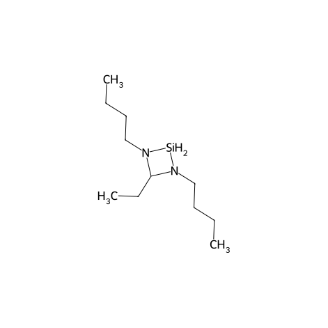 CCCCN1[SiH2]N(CCCC)C1CC